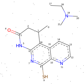 CC1CC(=O)Nc2nc(S)c3ncccc3c21.CCN(C)C